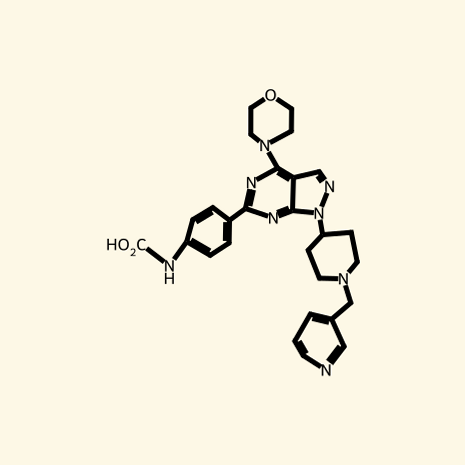 O=C(O)Nc1ccc(-c2nc(N3CCOCC3)c3cnn(C4CCN(Cc5cccnc5)CC4)c3n2)cc1